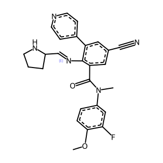 COc1ccc(N(C)C(=O)c2cc(C#N)cc(-c3ccncc3)c2/N=C/C2CCCN2)cc1F